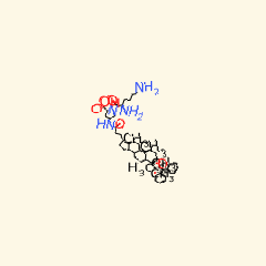 CC(C)(C)[Si](O[C@@H]1CC[C@@]2(C)C(CCC3C2CC[C@]2(C)C(CCC(=O)N[C@H]4C[C@@H](C(=O)O)N(C(=O)C(N)CCCCN)C4)CCC32)C1)(c1ccccc1)c1ccccc1